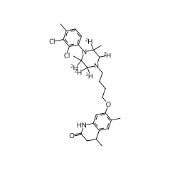 [2H]C1N(CCCCOc2cc3c(cc2C)C(C)CC(=O)N3)C([2H])([2H])C([2H])(C)N(c2ccc(C)c(Cl)c2Cl)C1([2H])C